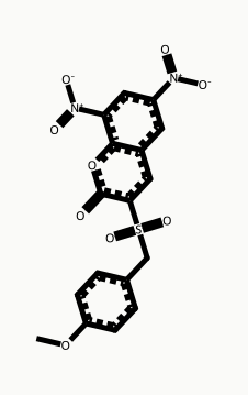 COc1ccc(CS(=O)(=O)c2cc3cc([N+](=O)[O-])cc([N+](=O)[O-])c3oc2=O)cc1